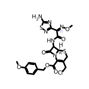 CO/N=C(\C(=O)NC1C(=O)N2C(C(=O)OCc3ccc(OC)cc3)=C(CCl)CS[C@H]12)c1nsc(N)n1